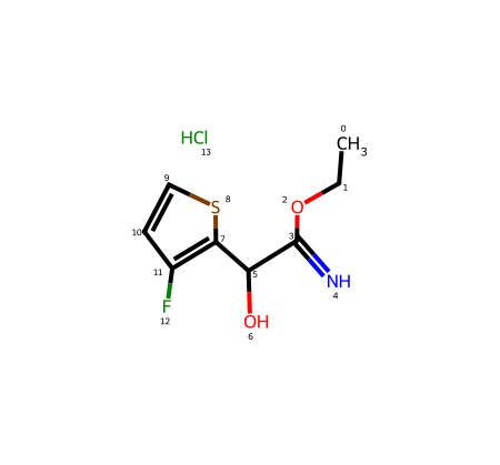 CCOC(=N)C(O)c1sccc1F.Cl